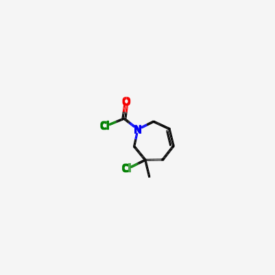 CC1(Cl)CC=CCN(C(=O)Cl)C1